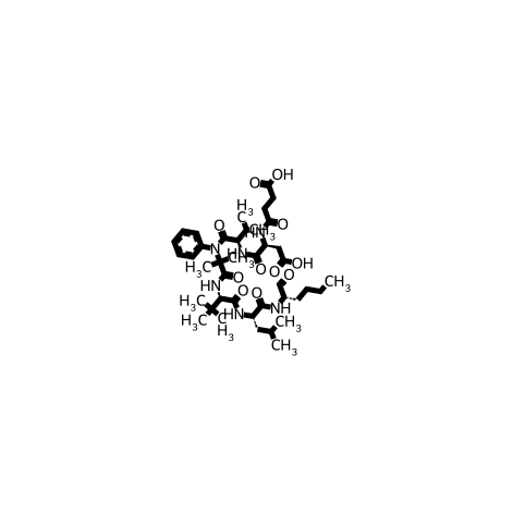 CCCC[C@@H](C=O)NC(=O)[C@H](CC(C)C)NC(=O)[C@@H](NC(=O)C(C)(C)N(C(=O)[C@H](NC(=O)[C@H](CC(=O)O)NC(=O)CCC(=O)O)C(C)C)c1ccccc1)C(C)(C)C